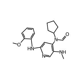 CNc1cnc(Nc2ccccc2OC)cc1N(C=O)C1CCCC1